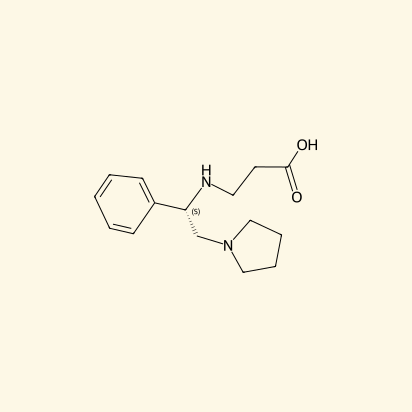 O=C(O)CCN[C@H](CN1CCCC1)c1ccccc1